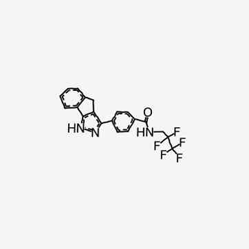 O=C(NCC(F)(F)C(F)(F)F)c1ccc(-c2n[nH]c3c2Cc2ccccc2-3)cc1